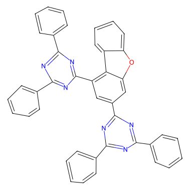 c1ccc(-c2nc(-c3ccccc3)nc(-c3cc(-c4nc(-c5ccccc5)nc(-c5ccccc5)n4)c4c(c3)oc3ccccc34)n2)cc1